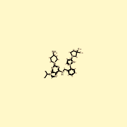 CC(C)n1cnc2c(NCc3ccccc3-n3ccc(N4CCC(F)(F)C4)n3)nc(N3CCC(N)CC3)nc21